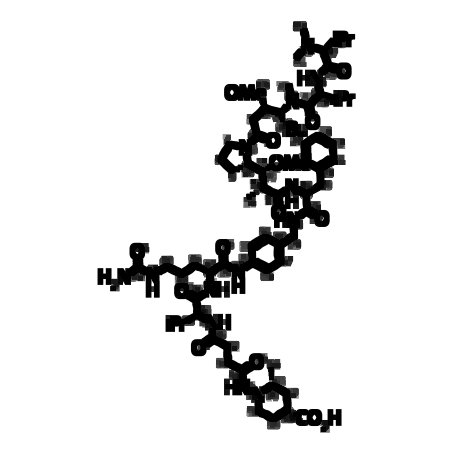 CC[C@H](C)[C@@H]([C@@H](CC(=O)N1CCC[C@H]1[C@H](OC)[C@@H](C)C(=O)N[C@@H](Cc1ccccc1)C(=O)NCc1ccc(NC(=O)[C@H](CCCNC(N)=O)NC(=O)[C@@H](NC(=O)CCC(=O)NN2CC[C@@H](C(=O)O)C[C@H]2C)C(C)C)cc1)OC)N(C)C(=O)[C@@H](NC(=O)[C@H](C(C)C)N(C)C)C(C)C